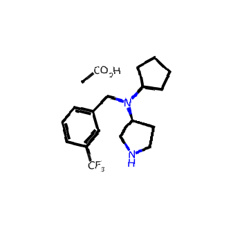 CC(=O)O.FC(F)(F)c1cccc(CN(C2CCCC2)[C@H]2CCNC2)c1